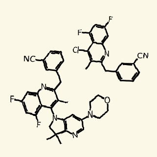 Cc1c(Cc2cccc(C#N)c2)nc2cc(F)cc(F)c2c1Cl.Cc1c(Cc2cccc(C#N)c2)nc2cc(F)cc(F)c2c1N1CC(C)(C)c2ncc(N3CCOCC3)cc21